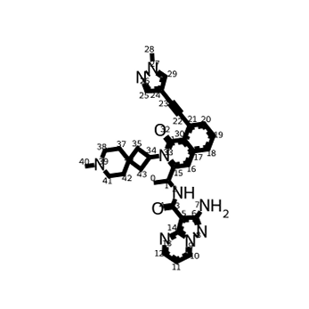 CC(NC(=O)c1c(N)nn2cccnc12)c1cc2cccc(C#Cc3cnn(C)c3)c2c(=O)n1C1CC2(CCN(C)CC2)C1